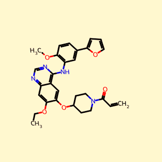 C=CC(=O)N1CCC(Oc2cc3c(Nc4cc(-c5ccco5)ccc4OC)ncnc3cc2OCC)CC1